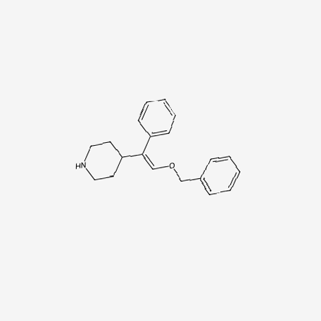 C(OCc1ccccc1)=C(c1ccccc1)C1CCNCC1